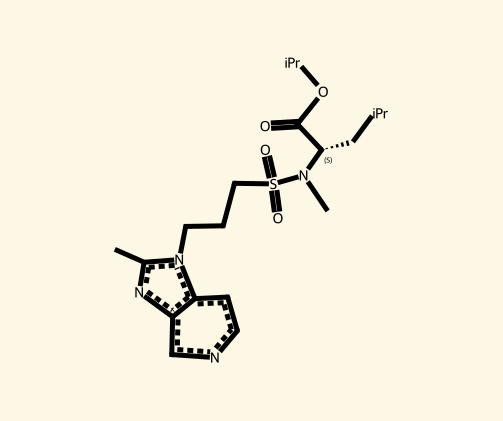 Cc1nc2cnccc2n1CCCS(=O)(=O)N(C)[C@@H](CC(C)C)C(=O)OC(C)C